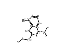 CCOc1cc(C(C)C)c2cccc(Br)c2n1